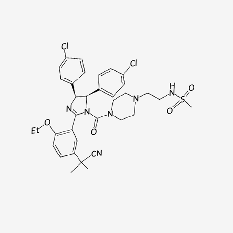 CCOc1ccc(C(C)(C)C#N)cc1C1=N[C@@H](c2ccc(Cl)cc2)[C@@H](c2ccc(Cl)cc2)N1C(=O)N1CCN(CCNS(C)(=O)=O)CC1